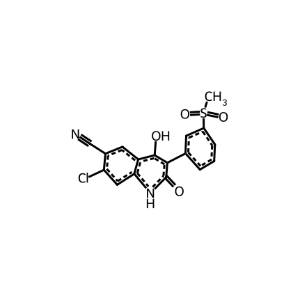 CS(=O)(=O)c1cccc(-c2c(O)c3cc(C#N)c(Cl)cc3[nH]c2=O)c1